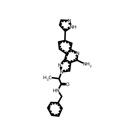 CC(C(=O)NCc1ccccc1)n1cc2c(N)nc3cc(-c4ccn[nH]4)ccc3c2n1